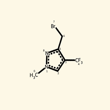 Cn1cc(C(F)(F)F)c(CBr)n1